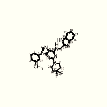 Cc1cccc(-n2cnc3c(NCc4nc5ccccc5[nH]4)nc(N4CCC(F)(F)CC4)nc32)c1